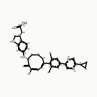 C=C1/C(F)=C\C=C(\c2c(C)cc(-c3cnc(C4CC4)cn3)cc2C)CCC[C@H]1Oc1ccc2c(c1)OC[C@H]2CC(=O)O